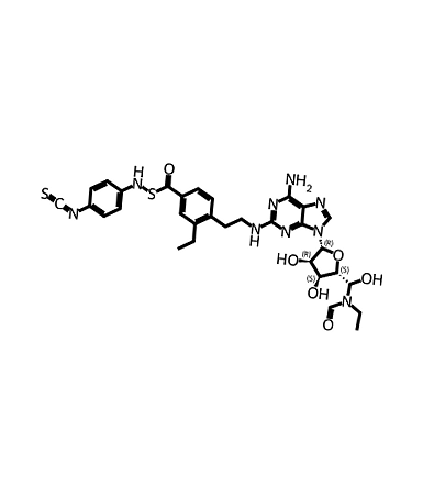 CCc1cc(C(=O)SNc2ccc(N=C=S)cc2)ccc1CCNc1nc(N)c2ncn([C@@H]3O[C@H](C(O)N(C=O)CC)[C@@H](O)[C@H]3O)c2n1